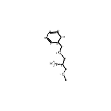 COCC(N)COCC1C=CC=CC1